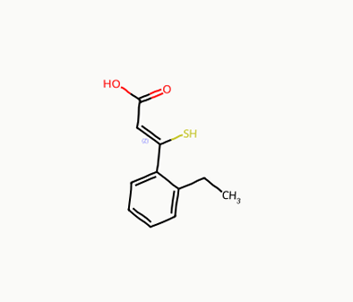 CCc1ccccc1/C(S)=C/C(=O)O